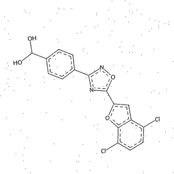 OC(O)c1ccc(-c2noc(-c3cc4c(Cl)ccc(Cl)c4o3)n2)cc1